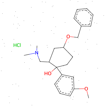 COc1cccc(C2(O)CCC(OCc3ccccc3)CC2CN(C)C)c1.Cl